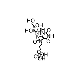 O=c1[nH]c(=O)c2c([nH]1)n(C[C@H](O)[C@H](O)[C@H](O)CO)c(=O)n2CCCOP(=O)(O)O